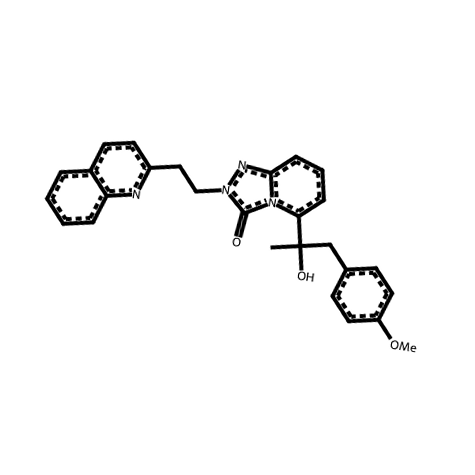 COc1ccc(CC(C)(O)c2cccc3nn(CCc4ccc5ccccc5n4)c(=O)n23)cc1